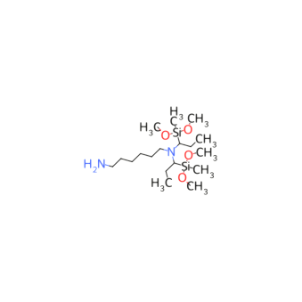 CCC(N(CCCCCCN)C(CC)[Si](C)(OC)OC)[Si](C)(OC)OC